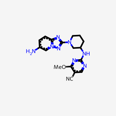 COc1nc(NC2CCCN(c3nc4ccc(N)cn4n3)C2)ncc1C#N